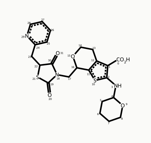 O=C(O)c1c(NC2CCCCO2)sc2c1CCOC2CN1C(=O)SC(Cc2ccccn2)C1=O